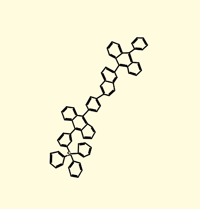 c1ccc(-c2c3ccccc3c(-c3ccc4cc(-c5ccc(-c6c7ccccc7c(-c7cccc([Si](c8ccccc8)(c8ccccc8)c8ccccc8)c7)c7ccccc67)cc5)ccc4c3)c3ccccc23)cc1